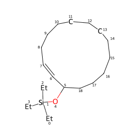 CC[Si](CC)(CC)OC1C=CCCCCCCCCCCC1